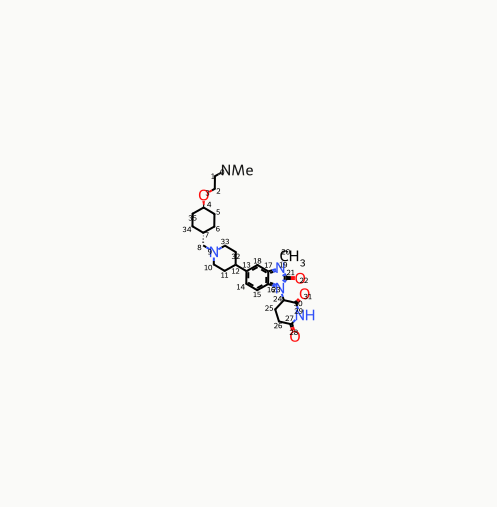 CNCCO[C@H]1CC[C@H](CN2CCC(c3ccc4c(c3)n(C)c(=O)n4C3CCC(=O)NC3=O)CC2)CC1